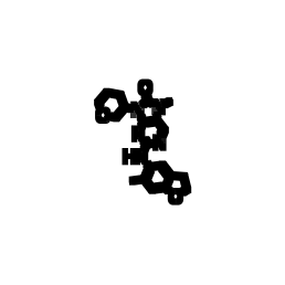 Cc1cc2c(cc1Nc1ncc3c(n1)n(C1CCCOC1)c(=O)n3C)CCO2